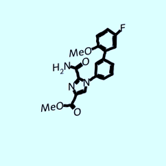 COC(=O)c1cn(-c2cccc(-c3cc(F)ccc3OC)c2)c(C(N)=O)n1